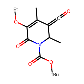 CCOC1=C(C)C(=C=O)C(C)N(C(=O)OC(C)(C)C)C1=O